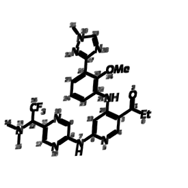 CCC(=O)c1cnc(Nc2cnc(C(N(C)C)C(F)(F)F)cn2)cc1Nc1cccc(-c2ncn(C)n2)c1OC